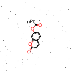 CCCC(=O)Oc1ccc2ccc(=O)oc2c1